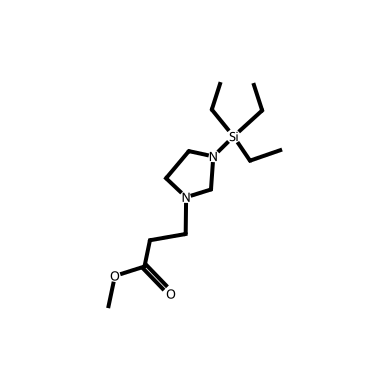 CC[Si](CC)(CC)N1CCN(CCC(=O)OC)C1